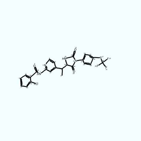 CC(c1ccnc(NC(=O)c2ccccc2Cl)c1)C1NC(=O)N(c2ccc(SC(F)(F)F)cc2)C1=O